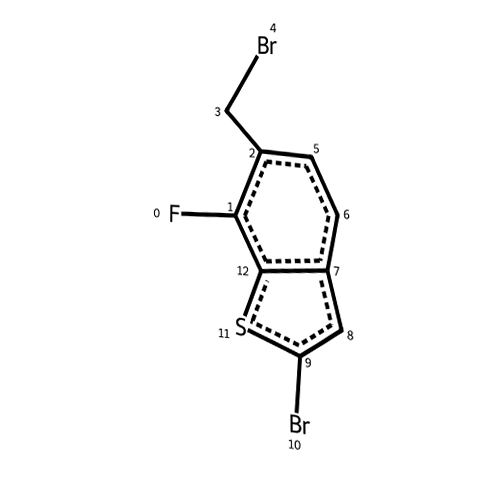 Fc1c(CBr)ccc2cc(Br)sc12